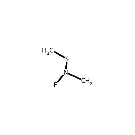 CSN(C)F